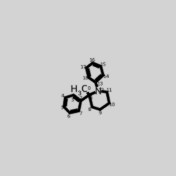 CC1(c2ccccc2)CCCCN1c1ccccc1